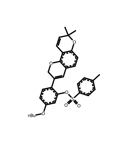 CCCCOc1ccc(C2=Cc3ccc4c(c3OC2)C=CC(C)(C)O4)c(OS(=O)(=O)c2ccc(C)cc2)c1